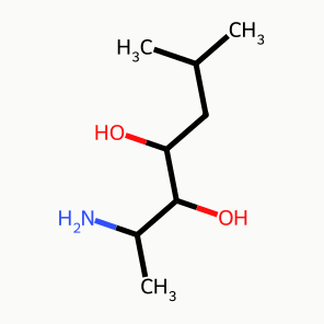 CC(C)CC(O)C(O)C(C)N